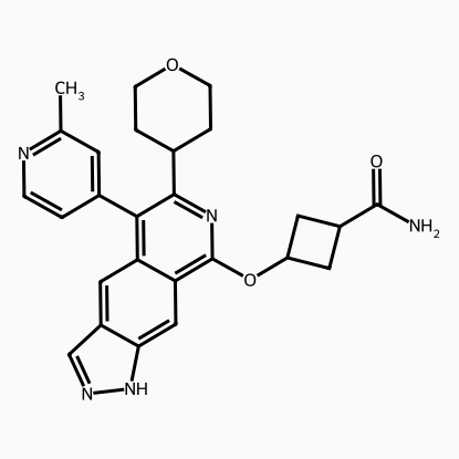 Cc1cc(-c2c(C3CCOCC3)nc(OC3CC(C(N)=O)C3)c3cc4[nH]ncc4cc23)ccn1